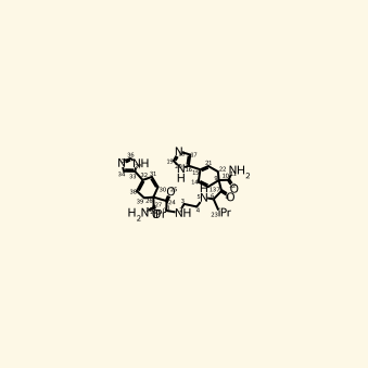 CC(C)C(NCCNC(C(=O)C1(C(N)=O)C=CC(c2cnc[nH]2)=CC1)C(C)C)C(=O)C1(C(N)=O)C=CC(c2cnc[nH]2)=CC1